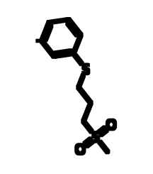 CS(=O)(=O)CCCSc1c[c]ccc1